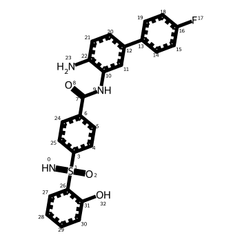 N=S(=O)(c1ccc(C(=O)Nc2cc(-c3ccc(F)cc3)ccc2N)cc1)c1ccccc1O